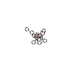 C1=CCC=CC(C2=NC(c3ccc(-c4ccccc4)cc3)=NC(n3c4ccccc4c4ccc5c6ccccc6n(-c6cc(-c7ccccc7)cc7c6oc6ccccc67)c5c43)N2)=C1